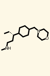 CC[C@@H](CCNC)C1CCC(CN2CCOCC2)CC1